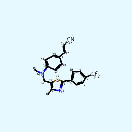 Cc1nc(-c2ccc(C(F)(F)F)cc2)sc1CN(C)c1ccc(/C=C/C#N)cc1